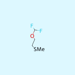 CSCCOC(F)F